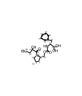 C[C@H]1C[C@H](COC(=O)N[C@@H](Cc2ccccc2)B(O)O)N(C(=O)C(C#N)CC(C)(C)C)C1